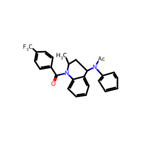 CC(=O)N(c1ccccc1)C1CC(C)N(C(=O)c2ccc(C(F)(F)F)cc2)c2ccccc21